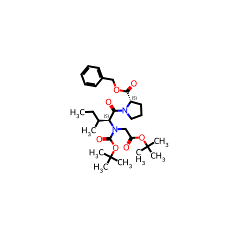 CCC(C)[C@@H](C(=O)N1CCC[C@H]1C(=O)OCc1ccccc1)N(CC(=O)OC(C)(C)C)C(=O)OC(C)(C)C